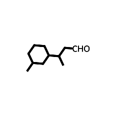 CC1CCCC(C(C)CC=O)C1